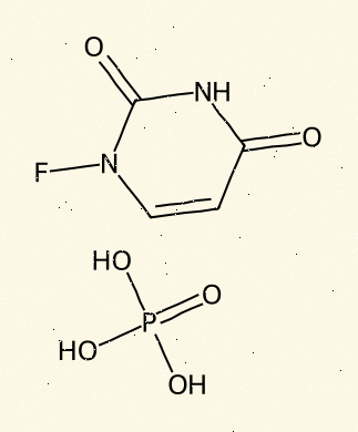 O=P(O)(O)O.O=c1ccn(F)c(=O)[nH]1